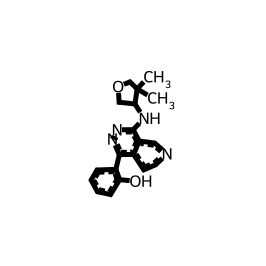 CC1(C)COCC1Nc1nnc(-c2ccccc2O)c2ccncc12